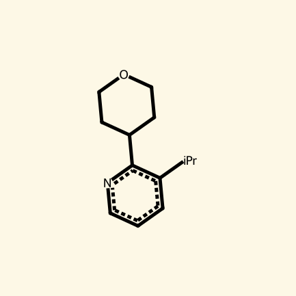 CC(C)c1cccnc1C1CCOCC1